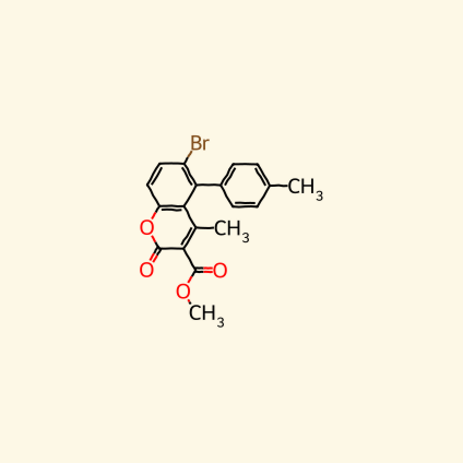 COC(=O)c1c(C)c2c(-c3ccc(C)cc3)c(Br)ccc2oc1=O